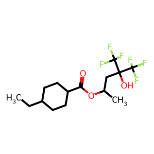 CCC1CCC(C(=O)OC(C)CC(O)(C(F)(F)F)C(F)(F)F)CC1